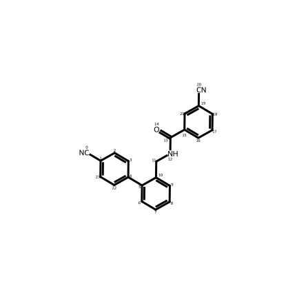 N#Cc1ccc(-c2ccccc2CNC(=O)c2cccc(C#N)c2)cc1